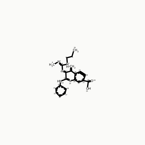 C=C1/C(=N\C(=N/C)NCCC)C(Nc2ccccc2)=Nc2cc(C(=O)O)c#cc21